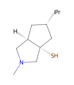 CC(C)[C@H]1C[C@@H]2CN(C)C[C@]2(S)C1